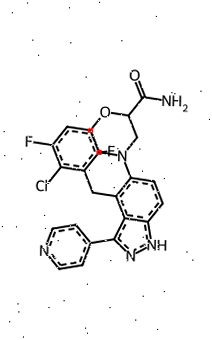 NC(=O)C1CN(c2ccc3[nH]nc(-c4ccncc4)c3c2Cc2c(F)ccc(F)c2Cl)CCO1